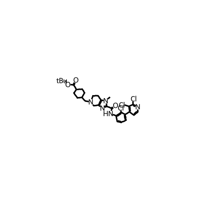 Cn1c(C(=O)Nc2cccc(-c3ccnc(Cl)c3Cl)c2Cl)nc2c1CCN(CC1CCC(C(=O)OC(C)(C)C)CC1)C2